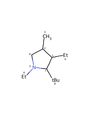 CCC1C(C)CN(CC)C1C(C)(C)C